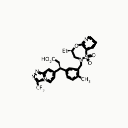 CC[C@@H]1CN(Cc2cc([C@H](CC(=O)O)c3ccn4c(C(F)(F)F)nnc4c3)ccc2C)S(=O)(=O)c2cccnc2O1